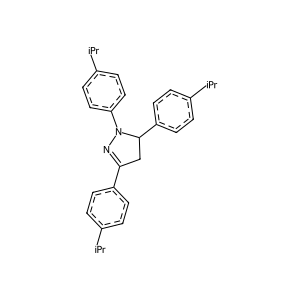 CC(C)c1ccc(C2=NN(c3ccc(C(C)C)cc3)C(c3ccc(C(C)C)cc3)C2)cc1